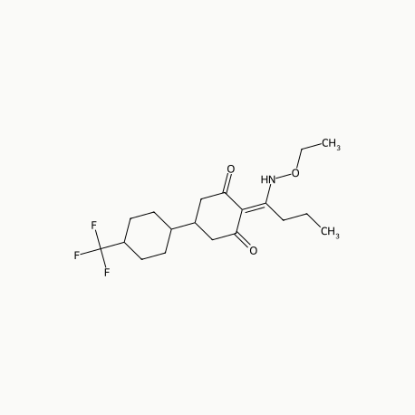 CCCC(NOCC)=C1C(=O)CC(C2CCC(C(F)(F)F)CC2)CC1=O